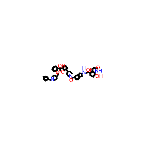 O=C(c1ccc2c(c1)CC(NC[C@H](O)c1ccc(O)c3[nH]c(=O)ccc13)C2)N1CCC(c2cccc([C@](O)(C(=O)OCC3CCN(Cc4ccccc4)CC3)c3ccccc3)c2)CC1